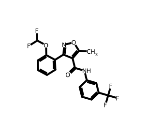 Cc1onc(-c2ccccc2OC(F)F)c1C(=O)Nc1cccc(C(F)(F)F)c1